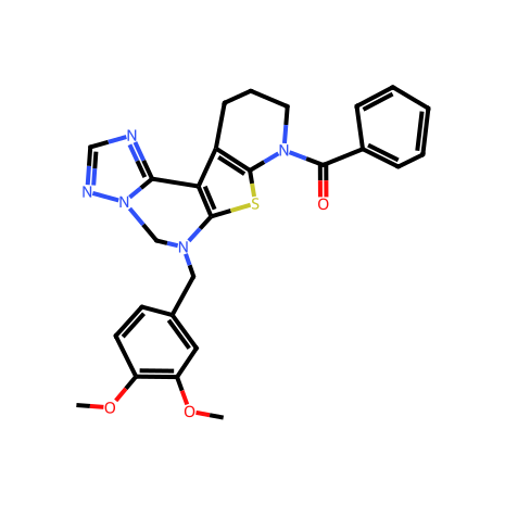 COc1ccc(CN2Cn3ncnc3-c3c2sc2c3CCCN2C(=O)c2ccccc2)cc1OC